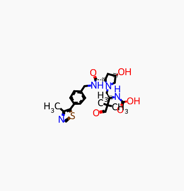 Cc1ncsc1-c1ccc(CNC(=O)[C@@H]2C[C@@H](O)CN2C[C@@H](NC(=O)O)C(C)(C)C=O)cc1